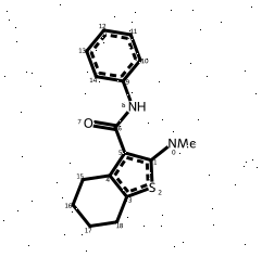 CNc1sc2c(c1C(=O)Nc1ccccc1)CCCC2